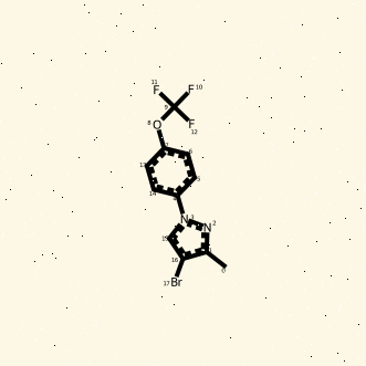 Cc1nn(-c2ccc(OC(F)(F)F)cc2)cc1Br